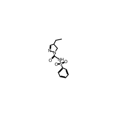 CCC1C=NN(C(=O)NS(=O)(=O)c2ccccc2)C1